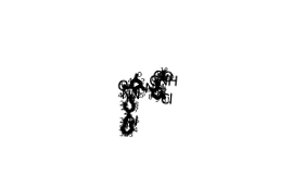 Cc1cc([C@@H](C)Nc2ccc(Cl)nc2C(=O)NS(C)(=O)=O)c2nc(N3CCC(c4cc5ccccn5n4)CC3)n(C)c(=O)c2c1